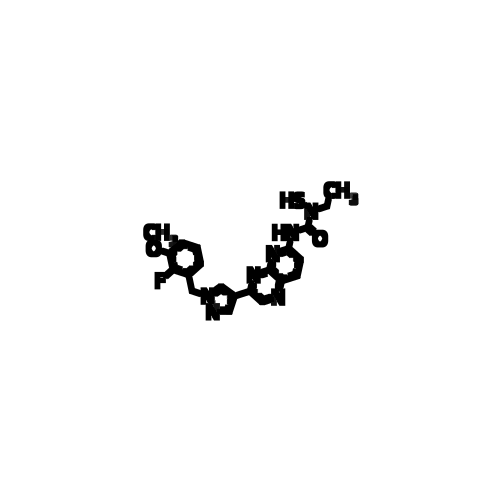 CCN(S)C(=O)Nc1ccc2ncc(-c3cnn(Cc4cccc(OC)c4F)c3)nc2n1